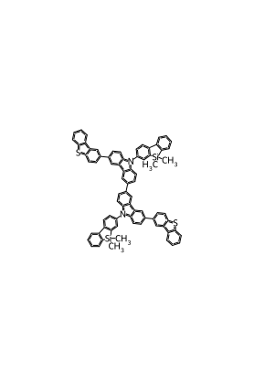 C[Si]1(C)c2ccccc2-c2ccc(-n3c4ccc(-c5ccc6sc7ccccc7c6c5)cc4c4cc(-c5ccc6c(c5)c5cc(-c7ccc8sc9ccccc9c8c7)ccc5n6-c5ccc6c(c5)[Si](C)(C)c5ccccc5-6)ccc43)cc21